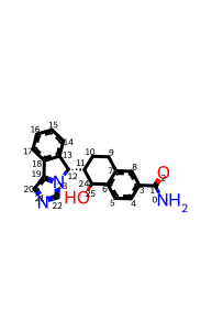 NC(=O)c1ccc2c(c1)CCC([C@H]1c3ccccc3-c3cncn31)C2O